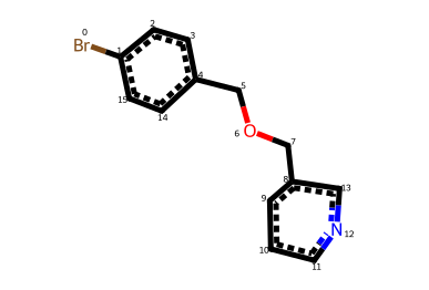 Brc1ccc(COCc2cccnc2)cc1